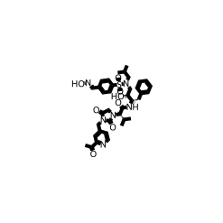 CC(=O)c1cc(CN2C(=O)CN([C@H](C(=O)N[C@@H](Cc3ccccc3)[C@H](O)CN(CC(C)C)S(=O)(=O)c3ccc(C=NO)cc3)C(C)C)C2=O)ccn1